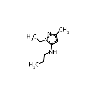 CCCNc1cc(C)nn1CC